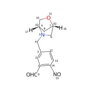 O=Cc1cc(CN2C[C@@H]3C[C@H]2CO3)ccc1N=O